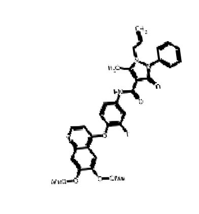 C=CCn1c(C)c(C(=O)Nc2ccc(Oc3ccnc4cc(OOC)c(OOC)cc34)c(F)c2)c(=O)n1-c1ccccc1